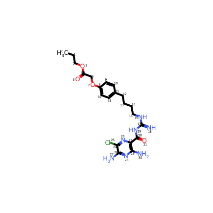 CCCOC(=O)COc1ccc(CCCCNC(=N)NC(=O)c2nc(Cl)c(N)nc2N)cc1